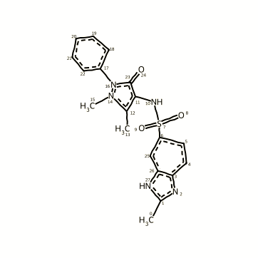 Cc1nc2ccc(S(=O)(=O)Nc3c(C)n(C)n(-c4ccccc4)c3=O)cc2[nH]1